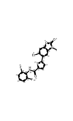 CCc1cc2oc(=O)n(C)c2cc1-c1ccc(C(=O)Nc2c(F)cccc2F)s1